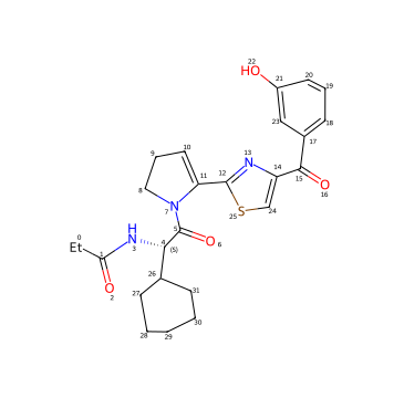 CCC(=O)N[C@H](C(=O)N1CCC=C1c1nc(C(=O)c2cccc(O)c2)cs1)C1CCCCC1